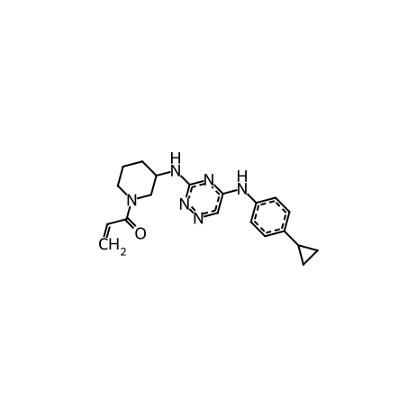 C=CC(=O)N1CCCC(Nc2nncc(Nc3ccc(C4CC4)cc3)n2)C1